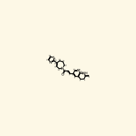 C=C1CCc2cc(/C=C/C(=O)N3CC=C(c4nccs4)CCC3)cnc2N1